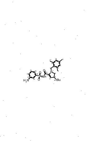 Cc1cc(C)c(CN2CC(C(C)(C)C)C=C2C(=O)NS(=O)(=O)c2cccc(N)c2)c(C)c1